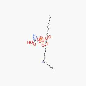 CCCCCCC/C=C\CCCCCCCC(=O)O[C@H](COC(=O)CCCCCCCCCCC)COP(=O)(O)OC[C@H](N)C(=O)O